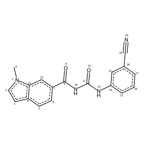 Cn1ccc2ccc(C(=O)NC(=O)Nc3cccc(C#N)c3)cc21